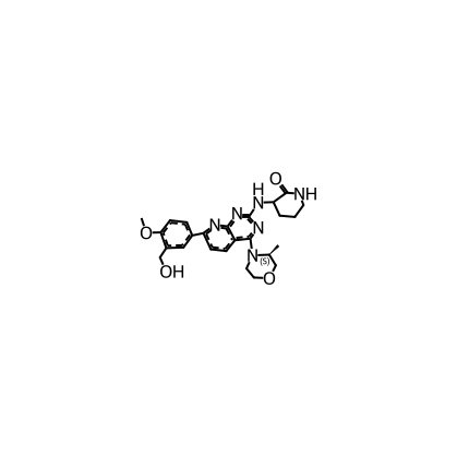 COc1ccc(-c2ccc3c(N4CCOC[C@@H]4C)nc(NC4CCCNC4=O)nc3n2)cc1CO